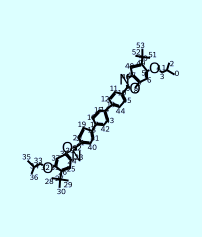 CC(C)COc1cc2oc(-c3ccc(-c4ccc(-c5ccc(-c6nc7cc(C(C)(C)C)c(OCC(C)C)cc7o6)cc5)cc4)cc3)nc2cc1C(C)(C)C